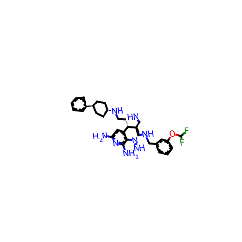 N=C/C(=C\NCc1cccc(OC(F)F)c1)[C@@H](CCN[C@H]1CC[C@H](c2ccccc2)CC1)c1cc(N)nc(N)c1N=N